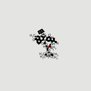 Cn1ccc2c([C@@H](c3cn(C45CCC4CC5)nn3)N(C(=O)OCCCOP(=O)(OC(C)(C)C)OC(C)(C)C)c3cc(Cl)c4ncc(C#N)c(NCC(C)(C)C)c4c3)cccc2c1=O